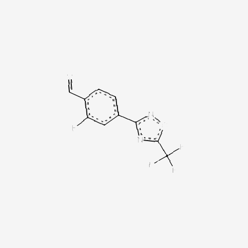 O=Cc1ccc(-c2noc(C(F)(F)F)n2)cc1F